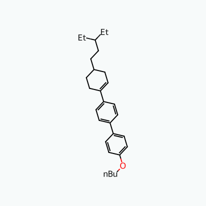 CCCCOc1ccc(-c2ccc(C3=CCC(CCC(CC)CC)CC3)cc2)cc1